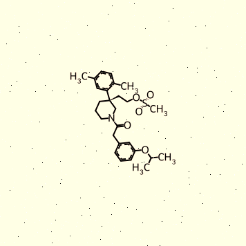 Cc1ccc(C)c([C@@]2(CCOS(C)(=O)=O)CCCN(C(=O)Cc3cccc(OC(C)C)c3)C2)c1